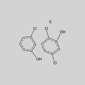 Oc1cc(Cl)ccc1Cl.Oc1cccc(Cl)c1.[S]